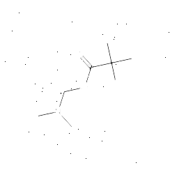 CCC(C)(C)C(=O)OCN(C)C